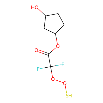 O=C(OC1CCC(O)C1)C(F)(F)OOS